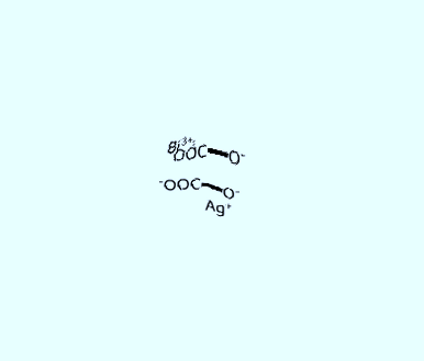 O=C([O-])[O-].O=C([O-])[O-].[Ag+].[Bi+3]